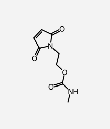 CNC(=O)OCCN1C(=O)C=CC1=O